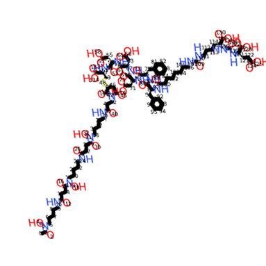 CC(=O)N(O)CCCCCNC(=O)CCC(=O)N(O)CCCCCNC(=O)CCC(=O)N(O)CCCCCNC(=O)CCN1C(=O)CC(SC[C@H](NC(=O)[C@H](CC(=O)O)NC(=O)[C@H](CC(=O)O)NC(=O)[C@H](CC(=O)O)NC(=O)[C@H](Cc2ccccc2)NC(=O)[C@H](Cc2ccccc2)NC(=O)CCCCCCCNC(=O)NCCCC[C@H](NC(=O)N[C@@H](CCC(=O)O)C(=O)O)C(=O)O)C(=O)O)C1=O